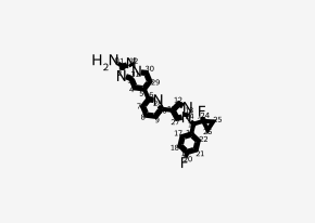 Nc1nc2cc(-c3cccc(-c4cnn(C(c5ccc(F)cc5)C5(F)CC5)c4)n3)ccn2n1